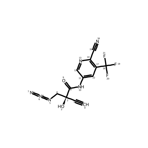 C#C[C@](O)(CN=[N+]=[N-])C(=O)Nc1cnc(C#N)c(C(F)(F)F)c1